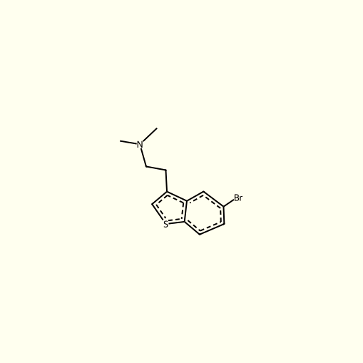 CN(C)CCc1csc2ccc(Br)cc12